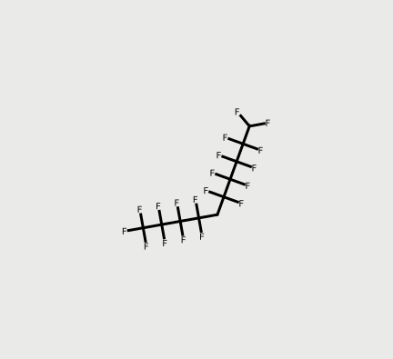 F[C](F)C(F)(F)C(F)(F)C(F)(F)C(F)(F)CC(F)(F)C(F)(F)C(F)(F)C(F)(F)F